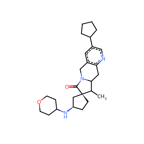 CC1C2Cc3ncc(C4CCCC4)cc3CN2C(=O)[C@]12CC[C@@H](NC1CCOCC1)C2